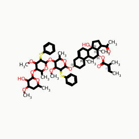 C/C=C(\C)C(=O)O[C@@H]1CC2C(CC=C3C[C@@H](OC4OC(C)C(OC5OC(C)C(OC6OC(C)CC(OC)C6O)C(OC)C5Sc5ccccc5)C(OC)C4Sc4ccccc4)CC[C@@]32C)[C@@]2(O)CCC(C(C)=O)[C@@]12C